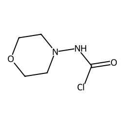 O=C(Cl)NN1CCOCC1